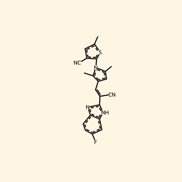 Cc1cc(C#N)c(-n2c(C)cc(C=C(C#N)c3nc4ccc(F)cc4[nH]3)c2C)s1